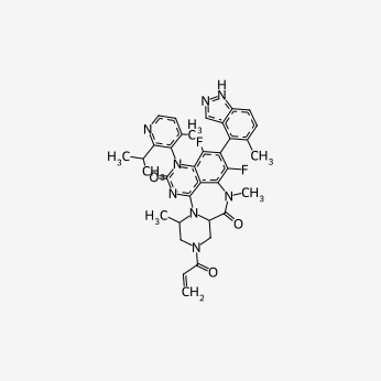 C=CC(=O)N1CC(C)N2c3nc(=O)n(-c4c(C)ccnc4C(C)C)c4c(F)c(-c5c(C)ccc6[nH]ncc56)c(F)c(c34)N(C)C(=O)C2C1